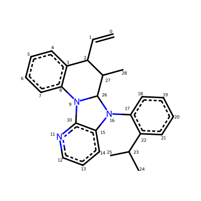 C=CC1c2ccccc2N2c3ncccc3N(c3ccccc3C(C)C)C2C1C